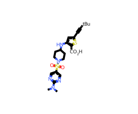 CN(C)c1ncc(S(=O)(=O)N2CCC(Nc3cc(C#CC(C)(C)C)sc3C(=O)O)CC2)cn1